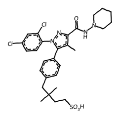 Cc1c(C(=O)NN2CCCCC2)nn(-c2ccc(Cl)cc2Cl)c1-c1ccc(CC(C)(C)CCS(=O)(=O)O)cc1